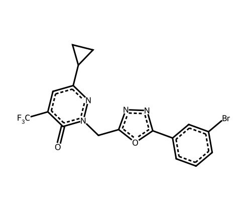 O=c1c(C(F)(F)F)cc(C2CC2)nn1Cc1nnc(-c2cccc(Br)c2)o1